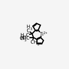 CC1(C)C2=[C](CC=C2)[Ti+2][C]2=C(C=CC2)C1(C)C.[Cl-].[Cl-]